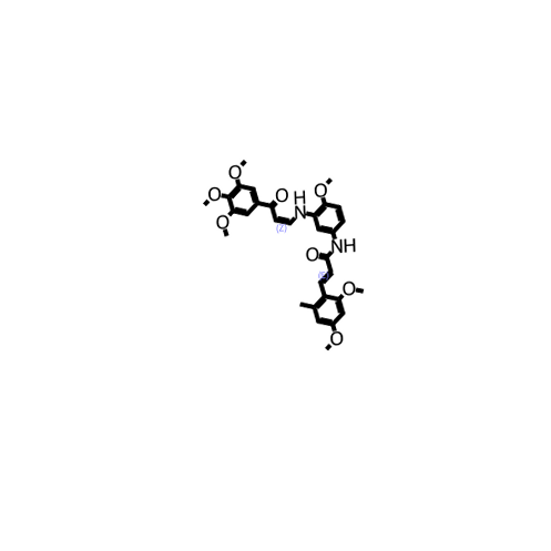 COc1cc(C)c(/C=C/C(=O)Nc2ccc(OC)c(N/C=C\C(=O)c3cc(OC)c(OC)c(OC)c3)c2)c(OC)c1